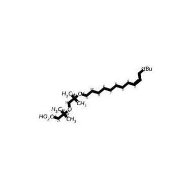 CC(C)(C)C/C=C\CCCCCCCCOC(C)(C)COC(C)(C)CC(=O)O